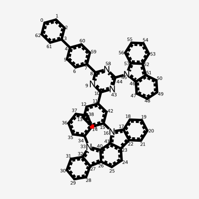 c1ccc(-c2ccc(-c3nc(-c4cccc(-n5c6ccccc6c6ccc7c8ccccc8n(-c8ccccc8)c7c65)c4)nc(-n4c5ccccc5c5ccccc54)n3)cc2)cc1